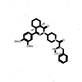 COc1ccc(C2=NN(C3CCN(C(=O)[C@@H](Cc4ccccc4)NC(=O)O)CC3)C(=O)[C@@H]3CCCC[C@H]23)cc1OC